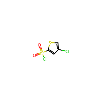 O=S(=O)(Cl)c1cc(Cl)cs1